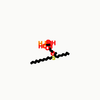 CCCCCCCCCCCCSC(CCCCCCC)C(C)OCCCOC(O)([PH2]=O)C(=O)O